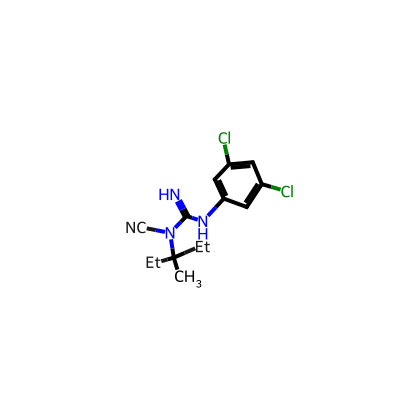 CCC(C)(CC)N(C#N)C(=N)Nc1cc(Cl)cc(Cl)c1